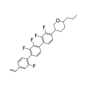 C=Cc1ccc(-c2ccc(-c3ccc(C4CCC(CCC)OC4)c(F)c3F)c(F)c2F)c(F)c1